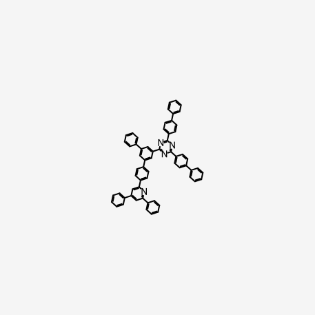 c1ccc(-c2ccc(-c3nc(-c4ccc(-c5ccccc5)cc4)nc(-c4cc(-c5ccccc5)cc(-c5ccc(-c6cc(-c7ccccc7)cc(-c7ccccc7)n6)cc5)c4)n3)cc2)cc1